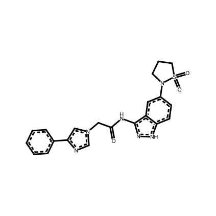 O=C(Cn1cnc(-c2ccccc2)c1)Nc1n[nH]c2ccc(N3CCCS3(=O)=O)cc12